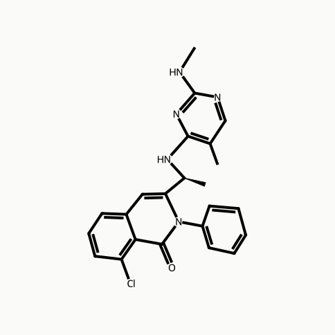 CNc1ncc(C)c(N[C@@H](C)c2cc3cccc(Cl)c3c(=O)n2-c2ccccc2)n1